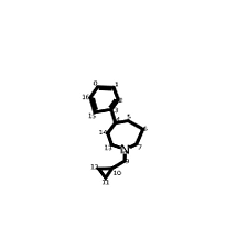 c1ccc(C2CCCN(CC3CC3)CC2)cc1